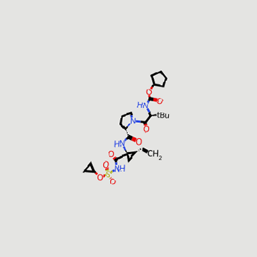 C=C[C@@H]1C[C@]1(NC(=O)[C@@H]1CCCN1C(=O)[C@@H](NC(=O)OC1CCCC1)C(C)(C)C)C(=O)NS(=O)(=O)OC1CC1